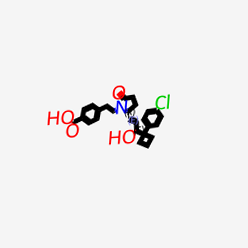 O=C(O)c1ccc(CCN2C(=O)CC[C@@H]2/C=C/[C@H](O)C2(c3ccc(Cl)cc3)CCC2)cc1